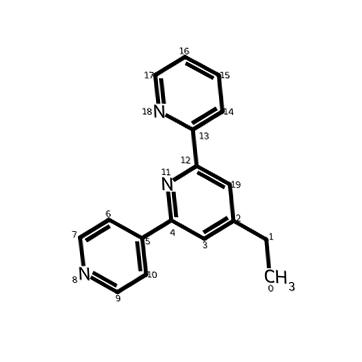 CCc1cc(-c2ccncc2)nc(-c2ccccn2)c1